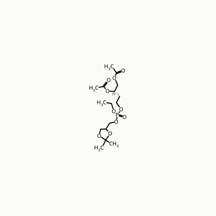 CCOP(=O)(OCC[C@@H](COC(C)=O)OC(C)=O)OCC1COC(C)(C)O1